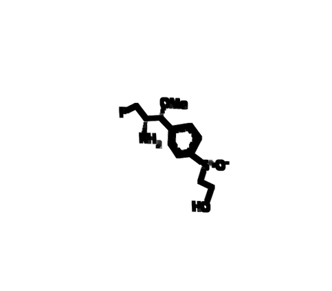 CO[C@H](c1ccc([S+]([O-])CCO)cc1)[C@H](N)CF